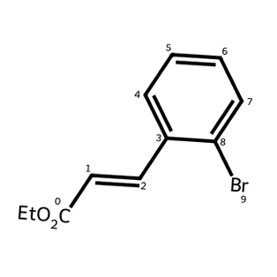 CCOC(=O)C=Cc1ccccc1Br